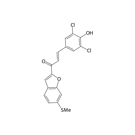 CSc1ccc2cc(C(=O)/C=C/c3cc(Cl)c(O)c(Cl)c3)oc2c1